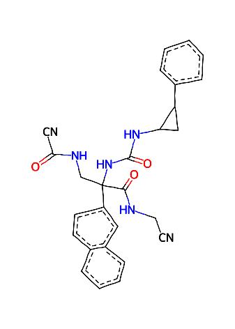 N#CCNC(=O)C(CNC(=O)C#N)(NC(=O)NC1CC1c1ccccc1)c1ccc2ccccc2c1